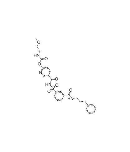 COCCNC(=O)Oc1ccc(C(=O)NS(=O)(=O)c2cccc(C(=O)NCCCc3ccccc3)c2)cn1